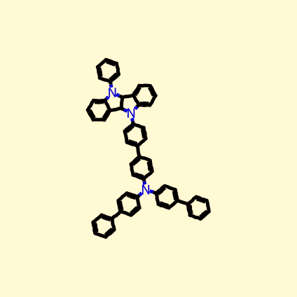 c1ccc(-c2ccc(N(c3ccc(-c4ccccc4)cc3)c3ccc(-c4ccc(N5c6ccccc6C6C5c5ccccc5N6c5ccccc5)cc4)cc3)cc2)cc1